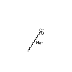 CCCCCCCCCCCCCCCCC(=O)[O-].[Na+]